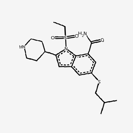 CCS(=O)(=O)n1c(C2CCNCC2)cc2cc(SCC(C)C)cc(C(N)=O)c21